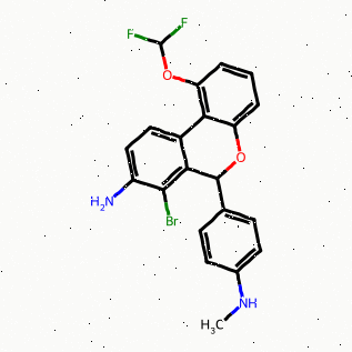 CNc1ccc(C2Oc3cccc(OC(F)F)c3-c3ccc(N)c(Br)c32)cc1